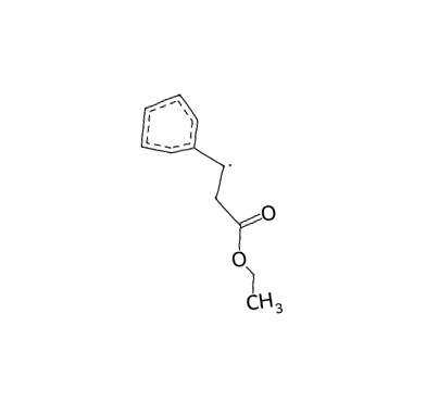 CCOC(=O)C[CH]c1ccccc1